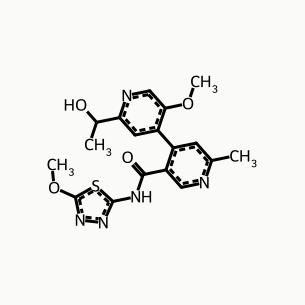 COc1nnc(NC(=O)c2cnc(C)cc2-c2cc(C(C)O)ncc2OC)s1